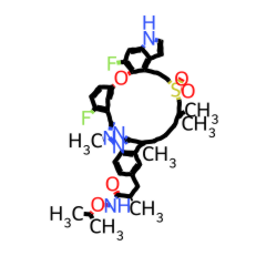 CC(C)ONC(=O)[C@@H](C)Cc1cccc(C2(C)CCCC(C)(C)CS(=O)(=O)CCc3c(c(F)cc4[nH]ccc34)Oc3ccc(F)c(c3)-c3nc2nn3C)c1